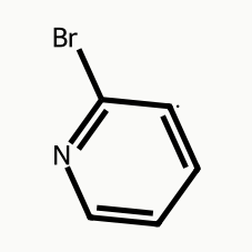 Brc1[c]cccn1